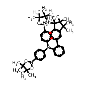 CC1(C)ON(c2ccc(N(c3ccc(N4OC(C)(C)C(C)(C)O4)cc3)c3ccccc3-c3ccc4c(c3)C(C)(C)C(C)(C)C4(C)C)cc2)OC1(C)C